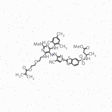 C=C(C)C(=O)OCCOCCNc1nc(NC)nc(Nc2c(C)cc(C)cc2C)c1/N=N/c1nn(-c2nc3ccc(S(=O)(=O)NC(C)CC(=O)OC)cc3s2)cc1C#N